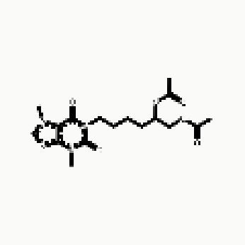 CC(=O)OCC(CCCCn1c(=O)c2c(ncn2C)n(C)c1=O)OC(C)=O